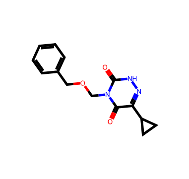 O=c1[nH]nc(C2CC2)c(=O)n1COCc1ccccc1